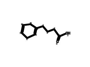 O=C(O)CCCC1=CCC=CC1